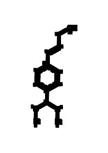 CCOC(OCC)c1ccc(C=CCO)cc1